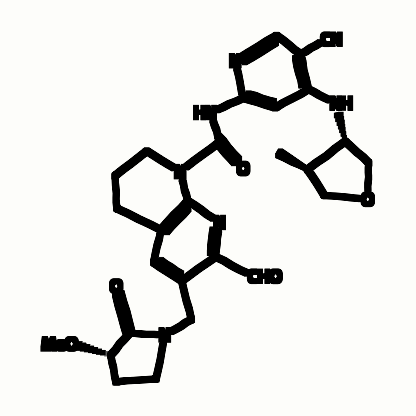 CO[C@H]1CCN(Cc2cc3c(nc2C=O)N(C(=O)Nc2cc(N[C@@H]4COC[C@H]4C)c(C#N)cn2)CCC3)C1=O